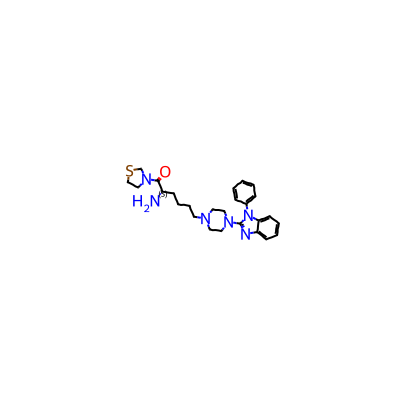 N[C@@H](CCCCN1CCN(c2nc3ccccc3n2-c2ccccc2)CC1)C(=O)N1CCSC1